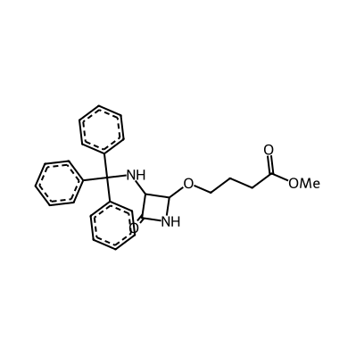 COC(=O)CCCOC1NC(=O)C1NC(c1ccccc1)(c1ccccc1)c1ccccc1